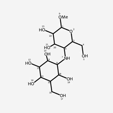 COC1OC(CO)C(NC2C(O)C(O)C(O)C(CO)C2O)C(O)C1O